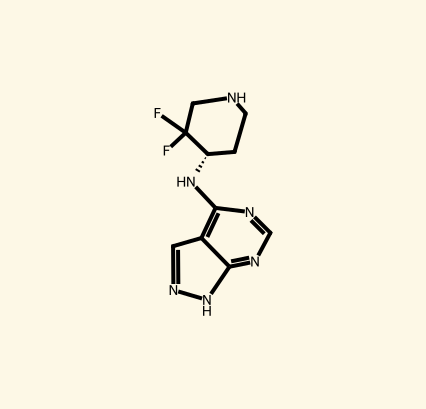 FC1(F)CNCC[C@@H]1Nc1ncnc2[nH]ncc12